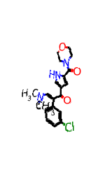 CN(C)C=C(C(=O)c1c[nH]c(C(=O)N2CCOCC2)c1)c1cccc(Cl)c1